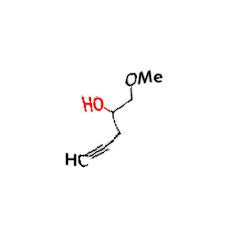 C#CCC(O)COC